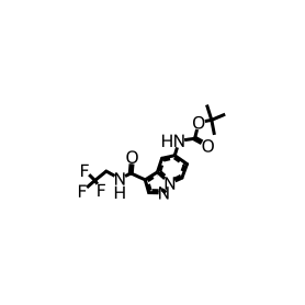 CC(C)(C)OC(=O)Nc1ccn2ncc(C(=O)NCC(F)(F)F)c2c1